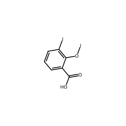 O=C(O)c1cccc(I)c1OI